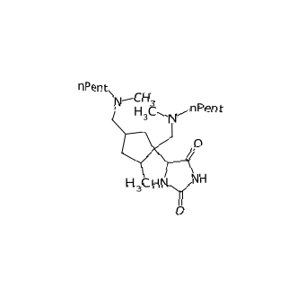 CCCCCN(C)CC1CC(C)C(CN(C)CCCCC)(C2NC(=O)NC2=O)C1